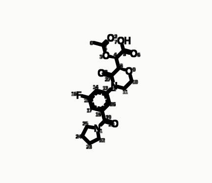 CC(=O)O[C@@H](C(=O)O)[C@H]1OCCN(c2cc(F)cc(C(=O)N3CCCC3)c2)C1=O